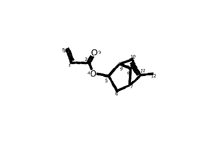 C=CC(=O)OC1CC2CC1C=C2C